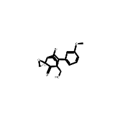 COc1cccc(C2CC3C(Br)=CC2(CO)C(=O)[C@]32CO2)c1